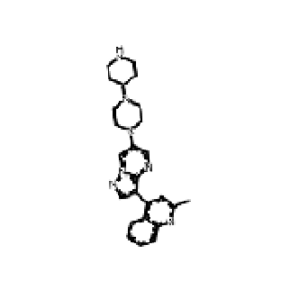 Cc1cc(-c2cnn3cc(N4CCN(C5CCNCC5)CC4)cnc23)c2ccccc2n1